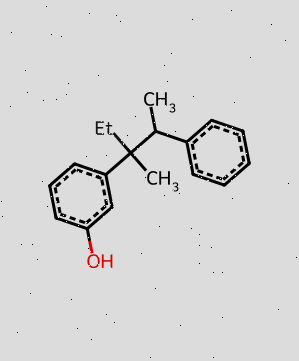 CCC(C)(c1cccc(O)c1)C(C)c1ccccc1